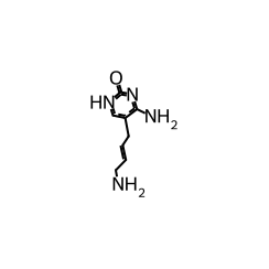 NCC=CCc1c[nH]c(=O)nc1N